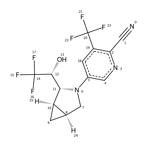 N#Cc1ncc(N2C[C@H]3C[C@H]3[C@@H]2[C@@H](O)C(F)(F)F)cc1C(F)(F)F